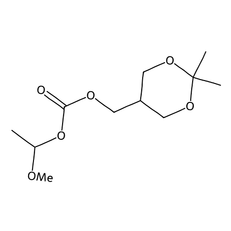 COC(C)OC(=O)OCC1COC(C)(C)OC1